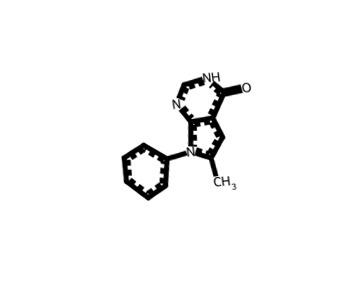 Cc1cc2c(=O)[nH]cnc2n1-c1ccccc1